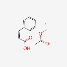 CCOC(C)=O.O=C(O)/C=C\c1ccccc1